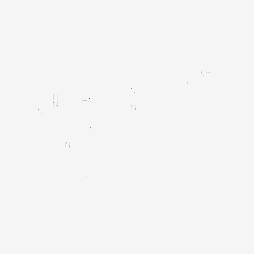 COCCCn1cc(Nc2nc(-c3cccs3)nc3cn[nH]c23)cn1